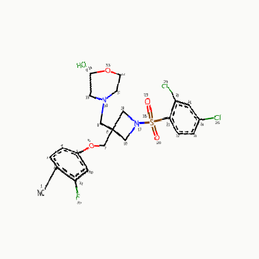 Cl.N#Cc1ccc(OCC2(CN3CCOCC3)CN(S(=O)(=O)c3ccc(Cl)cc3Cl)C2)cc1F